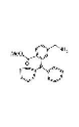 COC(=O)c1ccc(CN)cc1P(c1ccccc1)c1ccccc1